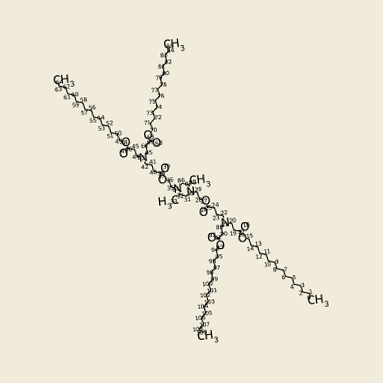 CCCCCCCCCCCCCCCCOC(=O)CCN(CCCC(=O)OCCN1CC(C)N(CCOC(=O)CCCN(CCC(=O)OCCCCCCCCCCCCCCCC)CCC(=O)OCCCCCCCCCCCCCCCC)CC1C)CCC(=O)OCCCCCCCCCCCCCCCC